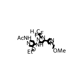 CCOc1cnc(NC(C)=O)cc1Nc1cc(-c2cnn(CCOC)c2)nc(C(C)(F)F)n1